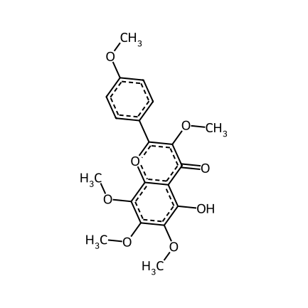 COc1ccc(-c2oc3c(OC)c(OC)c(OC)c(O)c3c(=O)c2OC)cc1